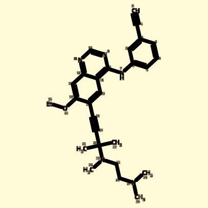 C#Cc1cccc(Nc2ncnc3cc(OCC)c(C#CC(C)(C)N(C)CCN(C)C)cc23)c1